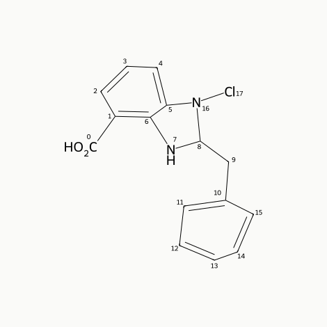 O=C(O)c1cccc2c1NC(Cc1ccccc1)N2Cl